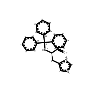 O=C[C@@H](Cc1cnc[nH]1)NC(c1ccccc1)(c1ccccc1)c1ccccc1